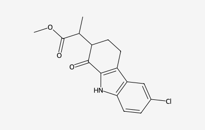 COC(=O)C(C)C1CCc2c([nH]c3ccc(Cl)cc23)C1=O